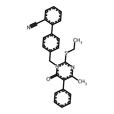 CCSc1nc(C)c(-c2ccccc2)c(=O)n1Cc1ccc(-c2ccccc2C#N)cc1